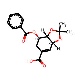 CC1(C)O[C@@H]2[C@@H](C=C(C(=O)O)C[C@H]2OC(=O)c2ccccc2)O1